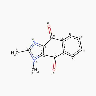 Cc1nc2c(n1C)C(=O)c1ccccc1C2=O